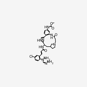 COC(=O)Nc1ccc2c(c1)NC(=O)CCN1CCC(CC(NC(=O)/C=C/c3cc(Cl)ccc3N(N)/C=N\N)c3nc-2c[nH]3)C1